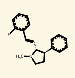 CN1CC[C@H](c2ccccc2)[C@H]1/C=C/c1ccccc1F